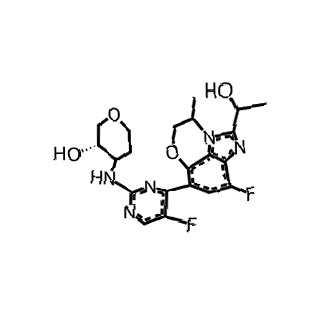 CC(O)c1nc2c(F)cc(-c3nc(NC4CCOC[C@H]4O)ncc3F)c3c2n1C(C)CO3